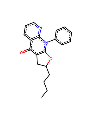 CCCCC1Cc2c(n(-c3ccccc3)c3ncccc3c2=O)O1